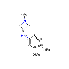 COc1cc(NC2CN(C(C)=O)C2)ccc1C(C)(C)C